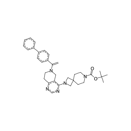 C=C(c1ccc(-c2ccccc2)cc1)N1CCc2ncnc(N3CC4(CCN(C(=O)OC(C)(C)C)CC4)C3)c2C1